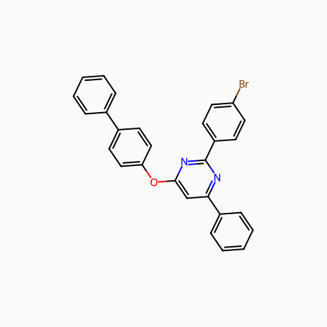 Brc1ccc(-c2nc(Oc3ccc(-c4ccccc4)cc3)cc(-c3ccccc3)n2)cc1